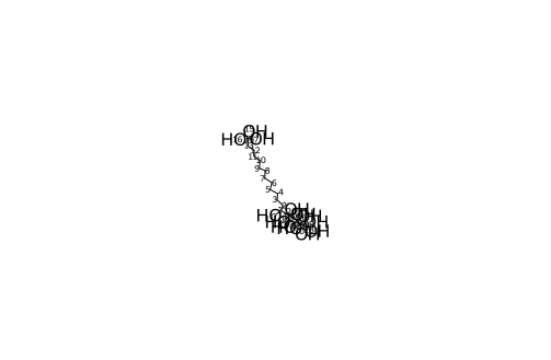 OC(CCCCCCCCCCCCC(O)(O)O)C(O)(O)C(O)(O)C(O)(O)C(O)(O)O